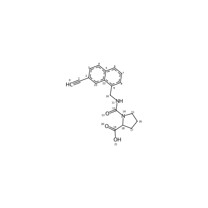 C#Cc1ccc2cccc(CNC(=O)N3CCCC3C(=O)O)c2c1